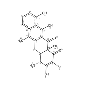 CC(=O)C1=C(O)[C@H](N)C2Cc3c(c(O)c4c(O)cccc4c3C)C(=O)C2(C)C1=O